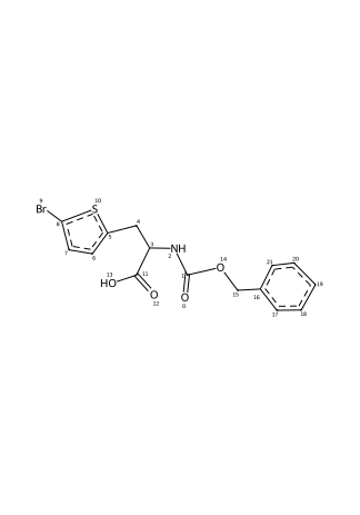 O=C(NC(Cc1ccc(Br)s1)C(=O)O)OCc1ccccc1